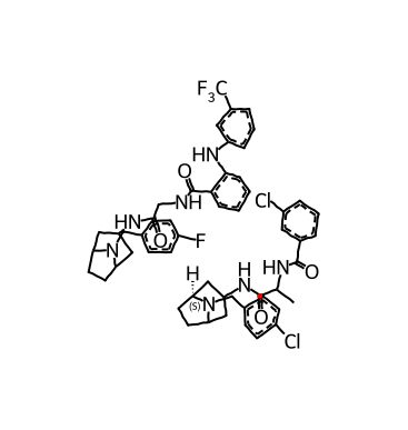 CC(NC(=O)c1cccc(Cl)c1)C(=O)NC1CC2CC[C@@H](C1)N2Cc1ccc(Cl)cc1.O=C(CNC(=O)c1ccccc1Nc1cccc(C(F)(F)F)c1)NC1CC2CCC(C1)N2Cc1ccc(F)cc1